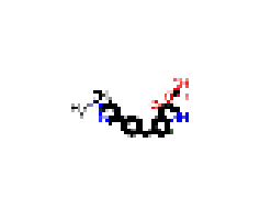 CN(C)c1ccc(-c2ccc(Cc3cc(F)c4[nH]cc(OC(=O)O)c(=O)c4c3)cc2)cn1